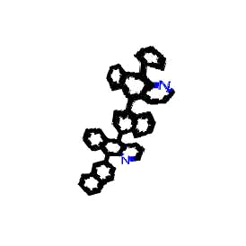 c1ccc(-c2c3ccccc3c(-c3ccc(-c4c5ccccc5c(-c5ccc6ccccc6c5)c5ncccc45)c4ccccc34)c3cccnc23)cc1